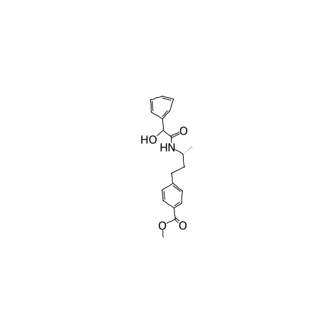 COC(=O)c1ccc(CC[C@@H](C)NC(=O)C(O)c2ccccc2)cc1